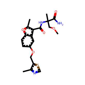 COCC(C)(NC(=O)c1c(C)oc2ccc(OCc3scnc3C)cc12)C(N)=O